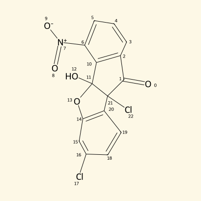 O=C1c2cccc([N+](=O)[O-])c2C2(O)Oc3cc(Cl)ccc3C12Cl